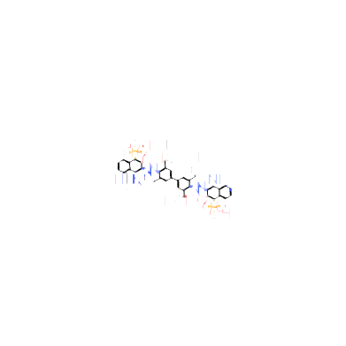 CCc1cc(-c2cc(CC)c(/N=N/c3c(O)c(S(=O)(=O)O)c4ccccc4c3N)c(CC)c2)cc(CC)c1/N=N/c1c(O)c(S(=O)(=O)O)c2ccccc2c1N